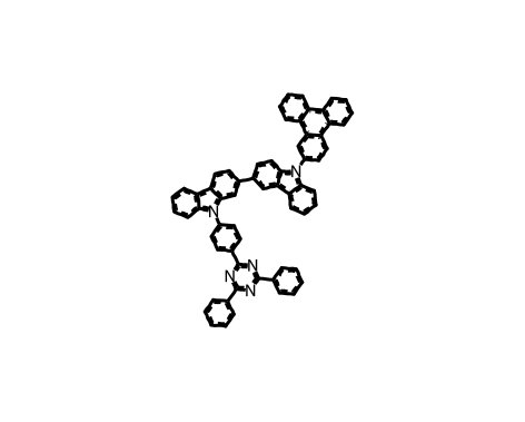 c1ccc(-c2nc(-c3ccccc3)nc(-c3ccc(-n4c5ccccc5c5ccc(-c6ccc7c(c6)c6ccccc6n7-c6ccc7c8ccccc8c8ccccc8c7c6)cc54)cc3)n2)cc1